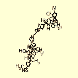 Cc1ncsc1-c1ccc([C@H](C)NC(=O)[C@@H]2C[C@@H](O)CN2C(=O)[C@@H](NC(=O)CN2CCN(CCC3CCN(c4ccc(C(=O)N[C@H]5C(C)(C)[C@H](Oc6ccc(C#N)c(Cl)c6)C5(C)C)cn4)C3)CC2)C(C)(C)C)cc1